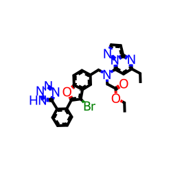 CCOC(=O)CN(Cc1ccc2oc(-c3ccccc3-c3nnn[nH]3)c(Br)c2c1)c1cc(CC)nc2ccnn12